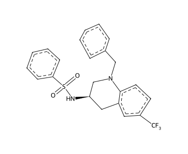 O=S(=O)(N[C@@H]1Cc2cc(C(F)(F)F)ccc2N(Cc2ccccc2)C1)c1ccccc1